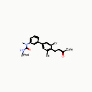 CCCCCNC(=O)N(C)c1cccc(-c2cc(CC)c(CCC(=O)OC)c(CC)c2)c1